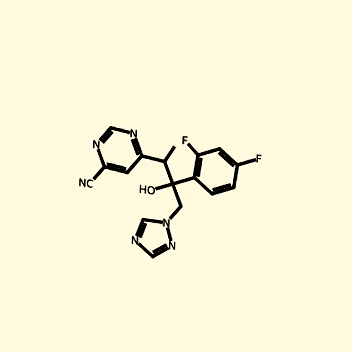 CC(c1cc(C#N)ncn1)C(O)(Cn1cncn1)c1ccc(F)cc1F